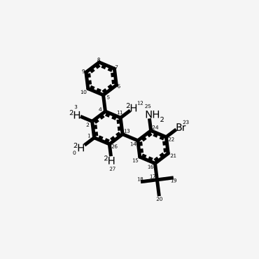 [2H]c1c([2H])c(-c2ccccc2)c([2H])c(-c2cc(C(C)(C)C)cc(Br)c2N)c1[2H]